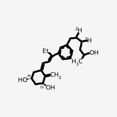 [2H]C(Cc1cccc(C(=CC=C2C[C@@H](O)C[C@H](O)C2=C)CC)c1)C([2H])CC(C)O